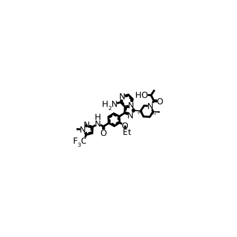 CCOc1cc(C(=O)Nc2cc(C(F)(F)F)n(C)n2)ccc1-c1nc([C@@H]2CC[C@H](C)N(C(=O)C(C)O)C2)n2ccnc(N)c12